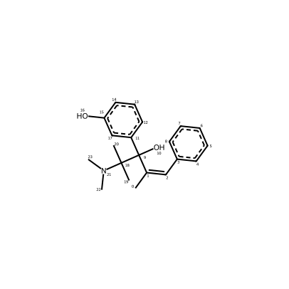 CC(=Cc1ccccc1)C(O)(c1cccc(O)c1)C(C)(C)N(C)C